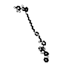 Nc1ncnc2c1c(-c1ccc(Oc3ccccc3)cc1)nn2[C@@H]1CCCN(C(=O)CCCN2CCN(CCCCCCCCCCCCSc3cccc4c3CN(C3CCC(=O)NC3=O)C4=O)CC2)C1